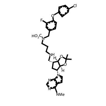 CNc1ncnc2c1ccn2[C@@H]1C[C@H](CNCCCN(Cc2ccc(Oc3ccc(Cl)cc3)c(F)c2)C(=O)O)[C@H]2OC(C)(C)O[C@H]21